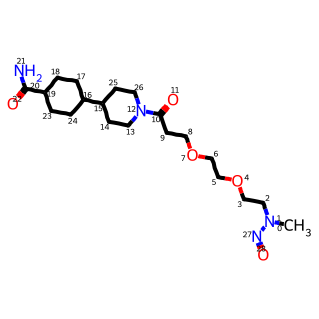 CN(CCOCCOCCC(=O)N1CCC(C2CCC(C(N)=O)CC2)CC1)N=O